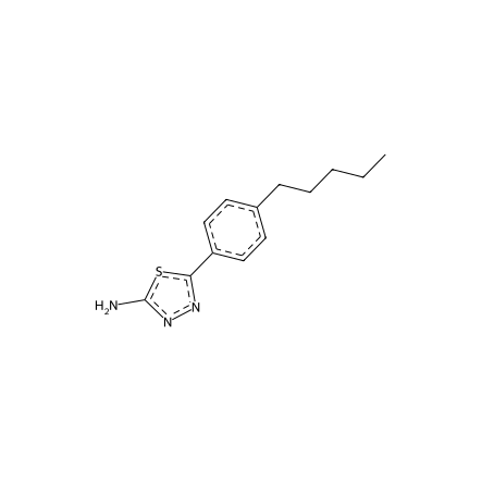 CCCCCc1ccc(-c2nnc(N)s2)cc1